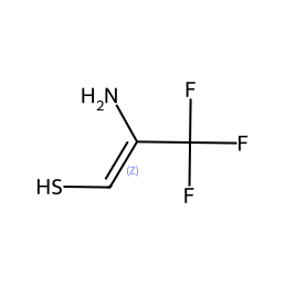 N/C(=C\S)C(F)(F)F